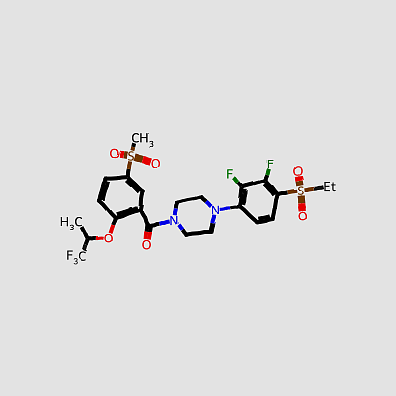 CCS(=O)(=O)c1ccc(N2CCN(C(=O)c3cc(S(C)(=O)=O)ccc3OC(C)C(F)(F)F)CC2)c(F)c1F